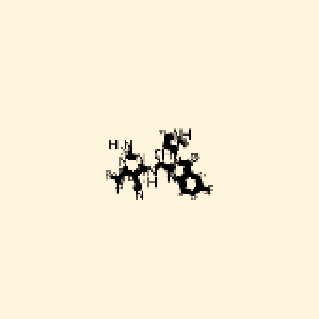 C[C@H](Nc1nc(N)nc(C(F)F)c1C#N)c1nc2ccc(F)cc2c(=O)n1-c1cc[nH]n1